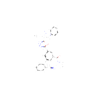 CC1CCCN1C(=O)c1cc(-c2nnc([C@](C)(N)Cc3ccccc3)o2)cc(-c2ccccc2C#N)c1